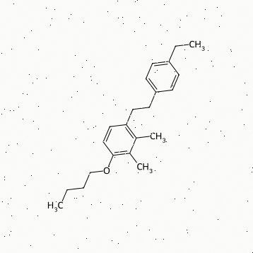 CCCCOc1ccc(CCc2ccc(CC)cc2)c(C)c1C